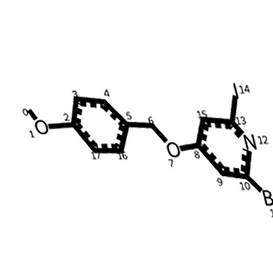 COc1ccc(COc2cc(Br)nc(I)c2)cc1